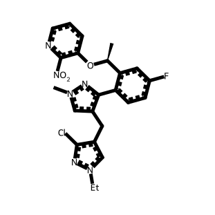 CCn1cc(Cc2cn(C)nc2-c2ccc(F)cc2[C@H](C)Oc2cccnc2[N+](=O)[O-])c(Cl)n1